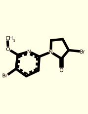 COc1nc(N2CCC(Br)C2=O)ccc1Br